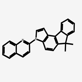 CC1(C)c2ccccc2-c2c1ccc1c2ccn1-c1ccc2ccccc2n1